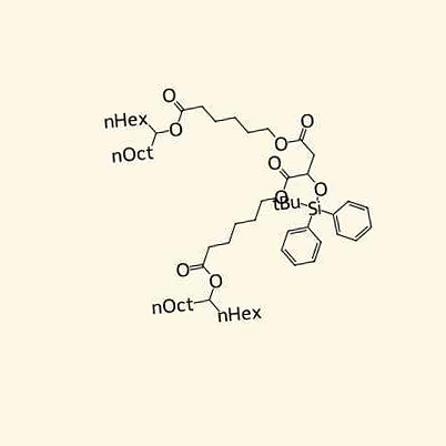 CCCCCCCCC(CCCCCC)OC(=O)CCCCCOC(=O)CC(O[Si](c1ccccc1)(c1ccccc1)C(C)(C)C)C(=O)OCCCCCC(=O)OC(CCCCCC)CCCCCCCC